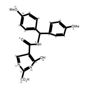 COc1ccc(C(NC(=O)c2cnc(C(=O)O)nc2O)c2ccc(OC)cc2)cc1